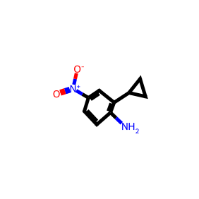 Nc1ccc([N+](=O)[O-])cc1C1CC1